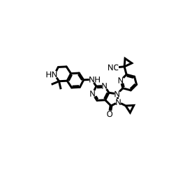 CC1(C)NCCc2cc(Nc3ncc4c(=O)n(C5CC5)n(-c5cccc(C6(C#N)CC6)n5)c4n3)ccc21